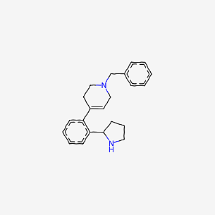 C1=C(c2ccccc2C2CCCN2)CCN(Cc2ccccc2)C1